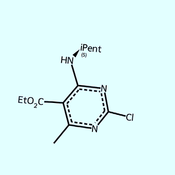 CCC[C@H](C)Nc1nc(Cl)nc(C)c1C(=O)OCC